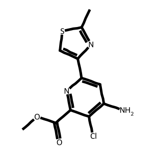 COC(=O)c1nc(-c2csc(C)n2)cc(N)c1Cl